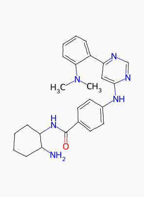 CN(C)c1ccccc1-c1cc(Nc2ccc(C(=O)NC3CCCCC3N)cc2)ncn1